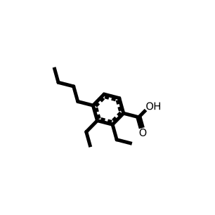 CCCCc1ccc(C(=O)O)c(CC)c1CC